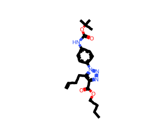 C=CCCc1c(C(=O)OCCCC)nnn1-c1ccc(NC(=O)OC(C)(C)C)cc1